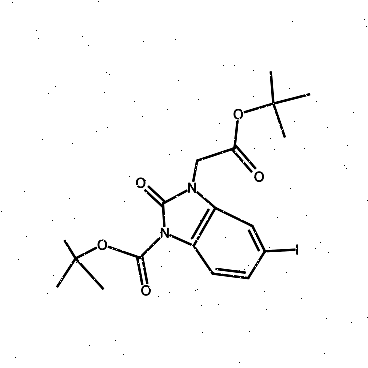 CC(C)(C)OC(=O)Cn1c(=O)n(C(=O)OC(C)(C)C)c2ccc(I)cc21